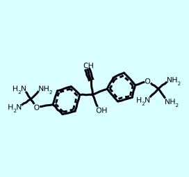 C#CC(O)(c1ccc(OC(N)(N)N)cc1)c1ccc(OC(N)(N)N)cc1